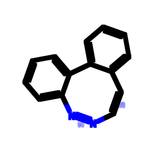 C1=C\c2ccccc2-c2ccccc2\N=N/1